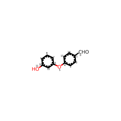 O=Cc1ccc(Oc2cccc(O)c2)cc1